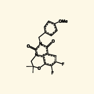 COc1ccc(Cn2c(=O)c3cc(F)c(F)c4c3n(c2=O)CC(C)(C)O4)cc1